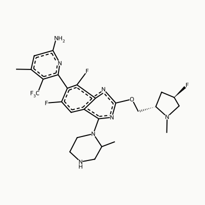 Cc1cc(N)nc(-c2c(F)cc3c(N4CCNCC4C)nc(OC[C@@H]4C[C@@H](F)CN4C)nc3c2F)c1C(F)(F)F